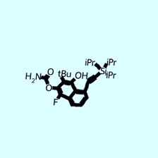 CC(C)[Si](C#Cc1cccc2c(F)c(OC(N)=O)c(C(C)(C)C)c(O)c12)(C(C)C)C(C)C